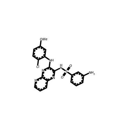 COc1ccc(Cl)c(Nc2nc3ncccc3nc2NS(=O)(=O)c2cccc(N)c2)c1